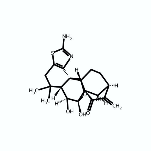 C=C1C(=O)[C@]23[C@H](O)[C@H]1CC[C@H]2[C@@]12CO[C@]3(O)[C@@H](O)[C@@H]1C(C)(C)Cc1sc(N)nc12